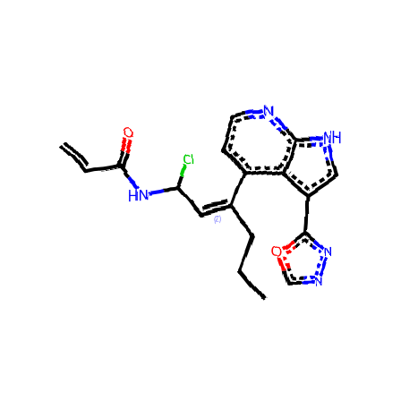 C=CC(=O)NC(Cl)/C=C(/CCC)c1ccnc2[nH]cc(-c3nnco3)c12